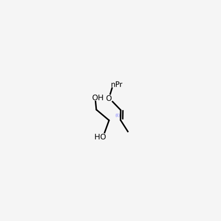 C/C=C/OCCC.OCCO